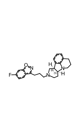 Fc1ccc2c(CCCN3CC[C@H]4[C@@H](C3)c3cccc5c3N4CCC5)noc2c1